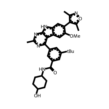 COc1cc2c(cc1-c1c(C)noc1C)[nH]c1nc(C)nc(-c3cc(C(=O)NC4CCC(O)CC4)cc(C(C)(C)C)c3)c12